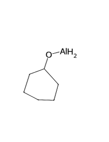 [AlH2][O]C1CCCCC1